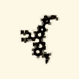 CC[C@H](C)Oc1nc2nc(C34COC(C)(C3)C4)cn2cc1C(=O)Nc1cccn([C@@H]2C[C@@H]2F)c1=O